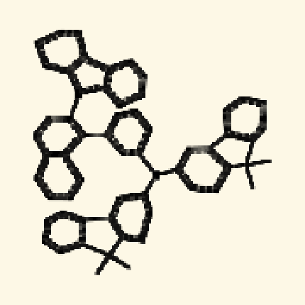 CC1(C)c2ccccc2-c2cc(N(c3cccc(-c4c(-n5c6ccccc6c6ccccc65)ccc5ccccc45)c3)c3ccc4c(c3)-c3ccccc3C4(C)C)ccc21